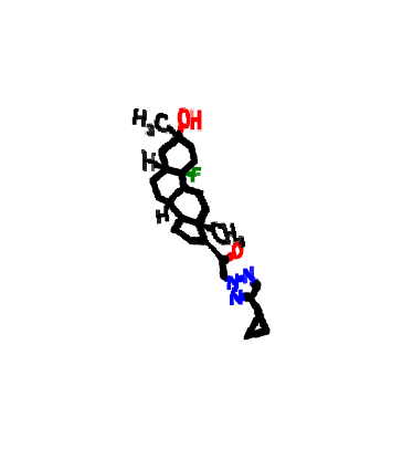 C[C@@]1(O)CC[C@]2(F)C3CC[C@@]4(C)C(CC[C@@H]4C(=O)Cn4ncc(C5CC5)n4)[C@@H]3CC[C@@H]2C1